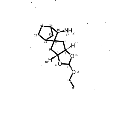 CCOC1O[C@@H]2CC3(C[C@H]2O1)C1CCC(C1)[C@H]3N